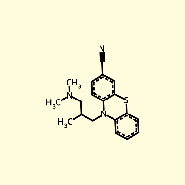 CC(CN(C)C)CN1c2ccccc2Sc2cc(C#N)ccc21